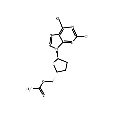 CC(=O)OC[C@H]1CC[C@H](n2nnc3c(Cl)nc(Cl)nc32)O1